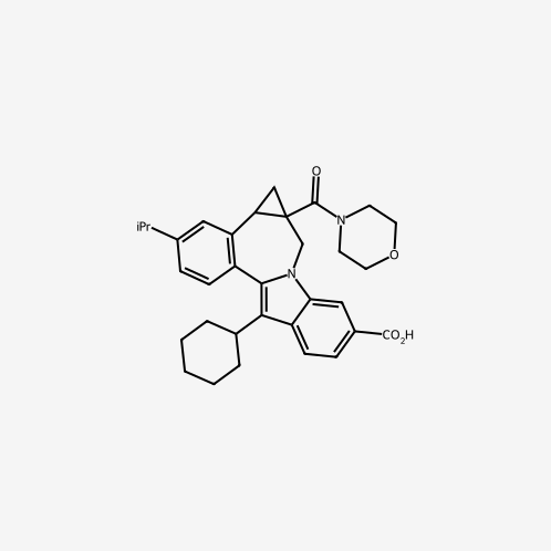 CC(C)c1ccc2c(c1)C1CC1(C(=O)N1CCOCC1)Cn1c-2c(C2CCCCC2)c2ccc(C(=O)O)cc21